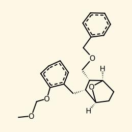 COCOc1ccccc1C[C@@H]1[C@H](COCc2ccccc2)[C@H]2CC[C@@H]1O2